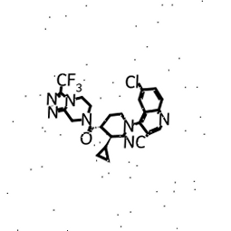 N#Cc1cnc2ccc(Cl)cc2c1N1CC[C@@H](C(=O)N2CCn3c(nnc3C(F)(F)F)C2)[C@H](C2CC2)C1